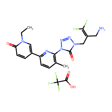 CCn1cc(-c2ccc(C)c(-n3nnn(CC(CN)=C(F)F)c3=O)n2)ccc1=O.O=C(O)C(F)(F)F